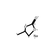 CC1COC(=O)O1.[Na]